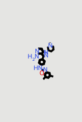 Cc1cc(C)c2oc(Nc3ccc(-c4nn(C5CCCN(C)C5)c5ccnc(N)c45)cc3)nc2c1